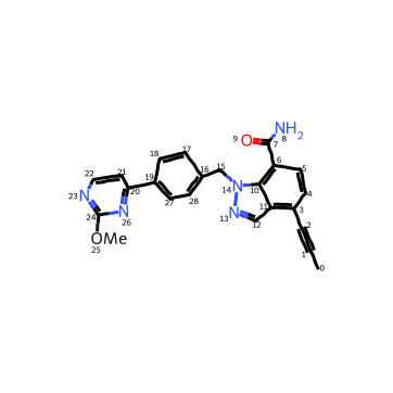 CC#Cc1ccc(C(N)=O)c2c1cnn2Cc1ccc(-c2ccnc(OC)n2)cc1